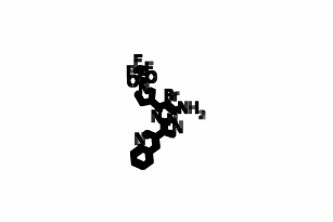 Nc1c(Br)c(C2CCN(S(=O)(=O)C(F)(F)F)C2)nc2c(-c3cnc4ccccc4c3)cnn12